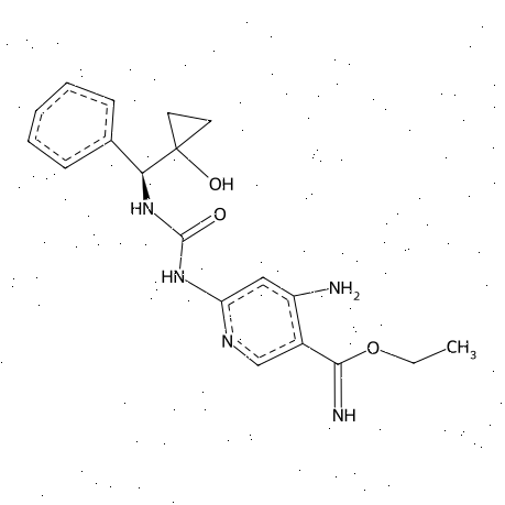 CCOC(=N)c1cnc(NC(=O)N[C@@H](c2ccccc2)C2(O)CC2)cc1N